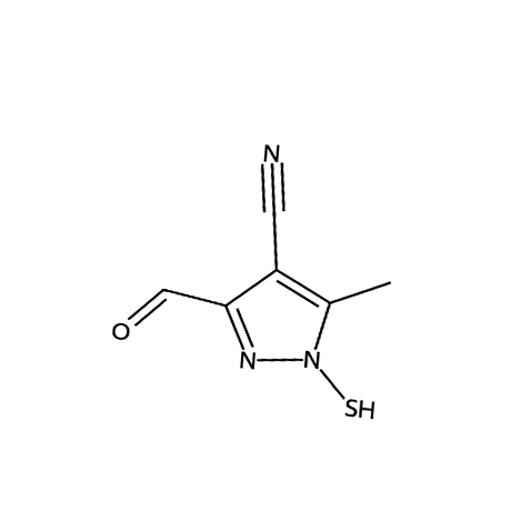 Cc1c(C#N)c(C=O)nn1S